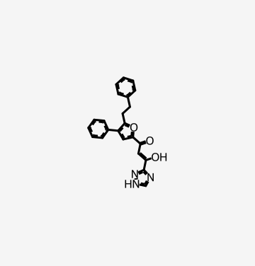 O=C(C=C(O)c1nc[nH]n1)c1cc(-c2ccccc2)c(CCc2ccccc2)o1